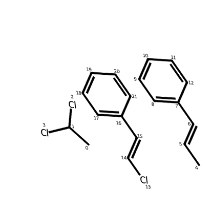 CC(Cl)Cl.CC=Cc1ccccc1.ClC=Cc1ccccc1